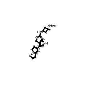 CC(=O)N[C@]1(C)C[C@@H](Nc2ncc3c(-c4ccn5nccc5c4)c[nH]c3n2)C1